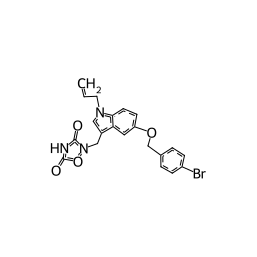 C=CCn1cc(Cn2oc(=O)[nH]c2=O)c2cc(OCc3ccc(Br)cc3)ccc21